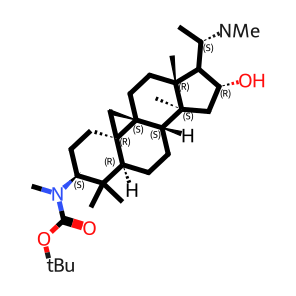 CN[C@@H](C)C1[C@H](O)C[C@@]2(C)[C@@H]3CC[C@H]4C(C)(C)[C@@H](N(C)C(=O)OC(C)(C)C)CC[C@@]45C[C@@]35CC[C@]12C